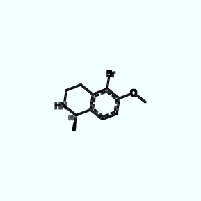 COc1ccc2c(c1Br)CCN[C@@H]2C